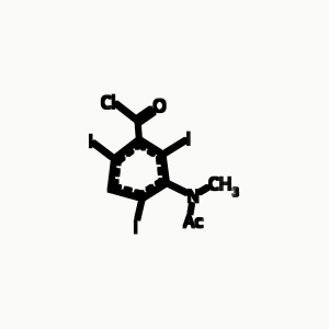 CC(=O)N(C)c1c(I)cc(I)c(C(=O)Cl)c1I